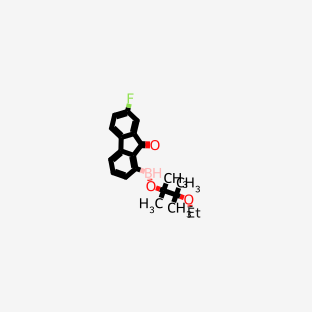 CCOC(C)(C)C(C)(C)OBc1cccc2c1C(=O)c1cc(F)ccc1-2